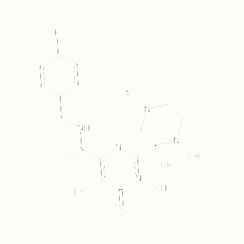 CC(=O)N1CCN(C)C(C)(c2nc(C(=O)NCc3ccc(F)cc3)c(O)c(=O)n2C)C1